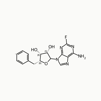 Nc1nc(F)nc2c1ncn2C1O[C@H](Cc2cc[c]cc2)[C@H](O)[C@@H]1O